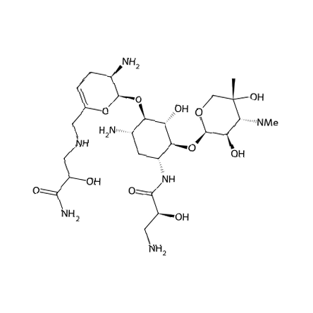 CN[C@@H]1[C@@H](O)[C@@H](O[C@@H]2[C@@H](O)[C@H](O[C@H]3OC(CNCC(O)C(N)=O)=CC[C@H]3N)[C@@H](N)C[C@H]2NC(=O)[C@@H](O)CN)OC[C@]1(C)O